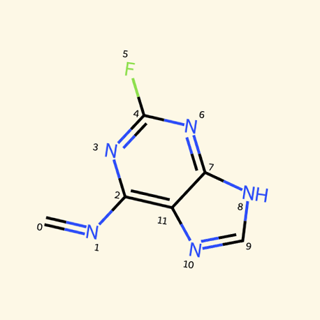 C=Nc1nc(F)nc2[nH]cnc12